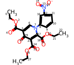 CCOC(=O)c1cn(-c2cccc([N+](=O)[O-])c2)c(C(=O)OCC)c(C(=O)OCC)c1=O